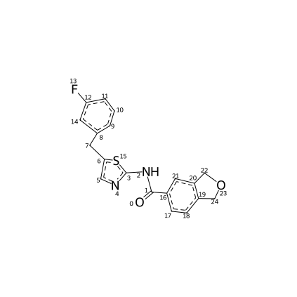 O=C(Nc1ncc(Cc2cccc(F)c2)s1)c1ccc2c(c1)COC2